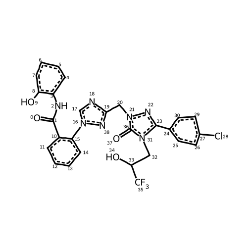 O=C(Nc1ccccc1O)c1ccccc1-n1cnc(Cn2nc(-c3ccc(Cl)cc3)n(CC(O)C(F)(F)F)c2=O)n1